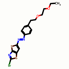 CCOCCOCCc1ccc(N=Nc2cc3sc(Br)nc3s2)cc1